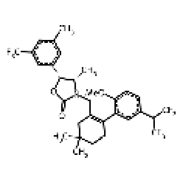 COc1ccc(C(C(F)(F)F)C(F)(F)F)cc1C1=C(CN2C(=O)O[C@H](c3cc(C)cc(C(F)(F)F)c3)[C@@H]2C)CC(C)(C)CC1